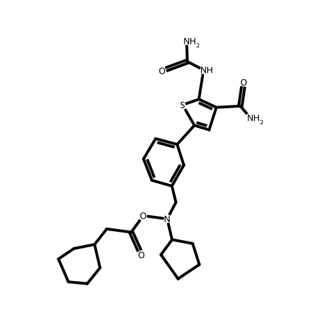 NC(=O)Nc1sc(-c2cccc(CN(OC(=O)CC3CCCCC3)C3CCCC3)c2)cc1C(N)=O